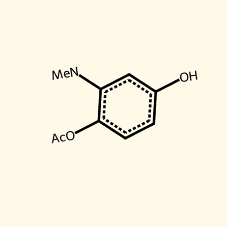 CNc1cc(O)ccc1OC(C)=O